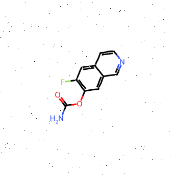 NC(=O)Oc1cc2cnccc2cc1F